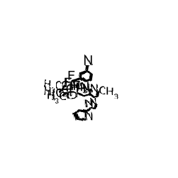 Cc1cc(-n2ccc(-c3ccccn3)n2)c(CCO[Si](C)(C)C(C)(C)C)c(Nc2ccc(C#N)cc2C(F)(F)F)n1